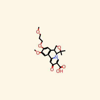 COCCCOc1cc2c(cc1OC)-c1cc(=O)c(C(=O)O)cn1C1C2COC1(C)C